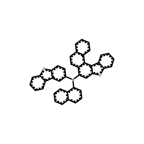 c1ccc2c(N(c3ccc4oc5ccccc5c4c3)c3cc4oc5ccccc5c4c4c3ccc3ccccc34)cccc2c1